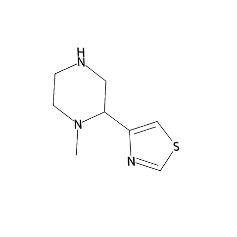 CN1CCNCC1c1cscn1